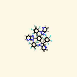 Fc1c(F)c(F)c(-c2c(-c3cc(-c4nc5cccnc5n4-c4c(F)c(F)c(F)c(F)c4F)cc(-c4nc5cccnc5n4-c4c(F)c(F)c(F)c(F)c4F)c3)[nH]c3cccnc23)c(F)c1F